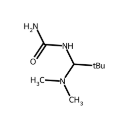 CN(C)C(NC(N)=O)C(C)(C)C